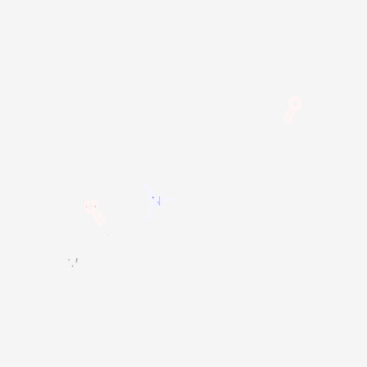 COC(=O)CN1C=CSC(C2=CC=CC(=O)C2)=C1